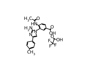 CC(=O)Nc1ccc(C(=O)O)cc1-n1cc(-c2ccc(C)cc2)nc1N.O=C(O)C(F)(F)F